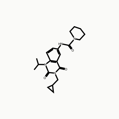 CC(C)n1c(=O)n(CC2CC2)c(=O)c2cc(NC(=O)N3CCCCC3)ccc21